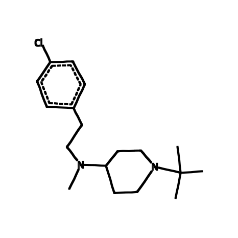 CN(CCc1ccc(Cl)cc1)C1CCN(C(C)(C)C)CC1